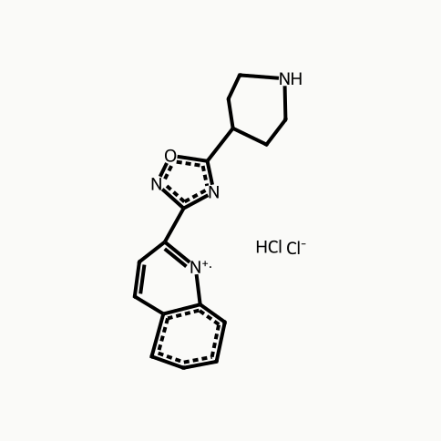 C1=Cc2ccccc2[N+]=C1c1noc(C2CCNCC2)n1.Cl.[Cl-]